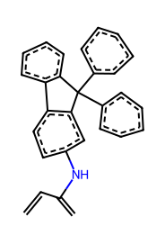 C=CC(=C)Nc1ccc2c(c1)C(c1ccccc1)(c1ccccc1)c1ccccc1-2